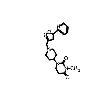 CN1C(=O)CCN(C2CCN(CC3=NOC(c4ccccn4)C3)CC2)C1=O